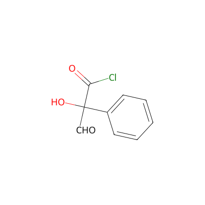 O=CC(O)(C(=O)Cl)c1ccccc1